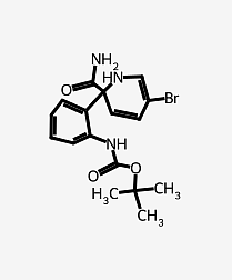 CC(C)(C)OC(=O)Nc1ccccc1C1(C(N)=O)C=CC(Br)=CN1